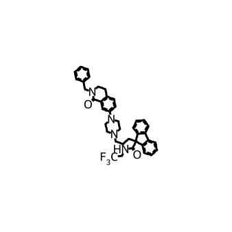 O=C1c2cc(N3CCN(CCCC4(C(=O)NCC(F)(F)F)c5ccccc5-c5ccccc54)CC3)ccc2CCN1Cc1ccccc1